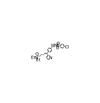 CCN(CC)C(=O)CCC/C=C(/c1ccc(CCNS(=O)(=O)c2ccc(Cl)cc2)cc1)c1cccnc1